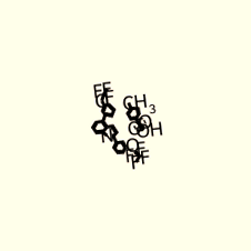 Cc1ccc(S(=O)(=O)O)cc1.FC(F)C(F)(F)Oc1cccc(-c2ccc3c(-c4cccc(OC(F)(F)F)c4)cccc3n2)c1